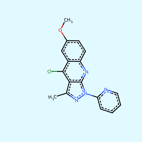 COc1ccc2nc3c(c(C)nn3-c3ccccn3)c(Cl)c2c1